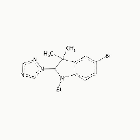 CCN1c2ccc(Br)cc2C(C)(C)C1n1cncn1